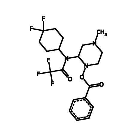 CN1CCN(OC(=O)c2ccccc2)C(N(C(=O)C(F)(F)F)C2CCC(F)(F)CC2)C1